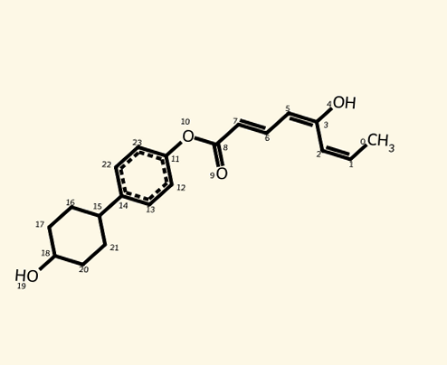 C\C=C/C(O)=C\C=C\C(=O)Oc1ccc(C2CCC(O)CC2)cc1